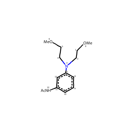 COCCN(CCOC)c1cccc(NC(C)=O)c1